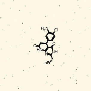 CCCSc1nc2c(c(=O)[nH]1)C(c1ccc(Cl)c(N)c1)CC(=O)N2